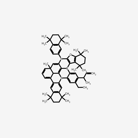 C=CC(C)c1cc2c(cc1CC)N1C3=C4B2c2c(oc5c2C(C)(C)CCC5(C)C)N(c2ccc5c(c2)C(C)(C)CCC5(C)C)C4=CC2(C)C=CC=C(c4cc5c(cc41)C(C)(C)CCC5(C)C)C32